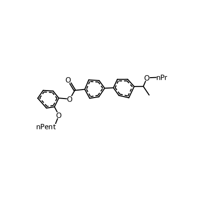 CCCCCOc1ccccc1OC(=O)c1ccc(-c2ccc(C(C)OCCC)cc2)cc1